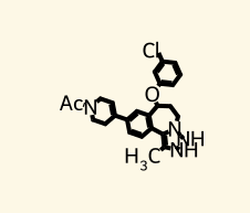 CC(=O)N1CC=C(c2ccc3c(c2)C(Oc2cccc(Cl)c2)CCN2NNC(C)=C32)CC1